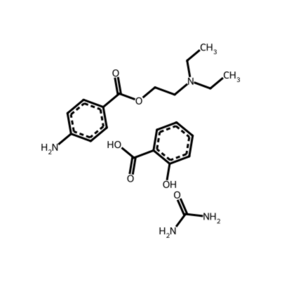 CCN(CC)CCOC(=O)c1ccc(N)cc1.NC(N)=O.O=C(O)c1ccccc1O